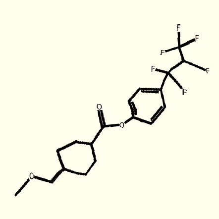 COCC1CCC(C(=O)Oc2ccc(C(F)(F)C(F)C(F)(F)F)cc2)CC1